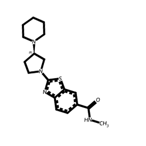 CNC(=O)c1ccc2nc(N3CC[C@@H](N4CCCCC4)C3)sc2c1